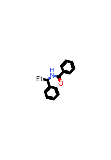 CCC(NC(=O)c1ccccc1)c1ccccc1